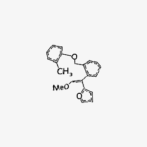 COC=C(c1ccco1)c1ccccc1COc1ccccc1C